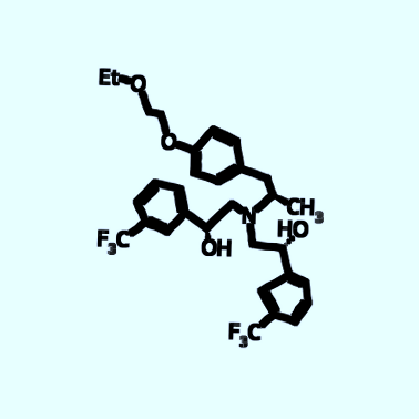 CCOCCOc1ccc(C[C@@H](C)N(C[C@H](O)c2cccc(C(F)(F)F)c2)C[C@H](O)c2cccc(C(F)(F)F)c2)cc1